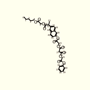 CCCCCOC(=O)COC(=O)C(C)c1ccc2cc(OC(=O)COC(=O)CC(=O)OCC(=O)Oc3ccccc3)ccc2c1